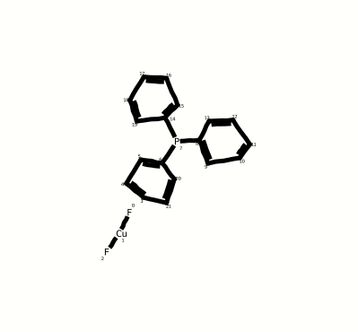 [F][Cu][F].c1ccc(P(c2ccccc2)c2ccccc2)cc1